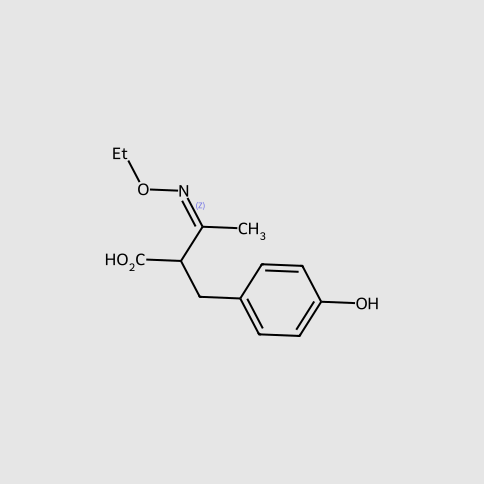 CCO/N=C(/C)C(Cc1ccc(O)cc1)C(=O)O